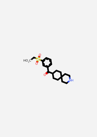 O=C(O)CS(=O)(=O)c1cccc(C(=O)C2CCC3(CCNCC3)CC2)c1